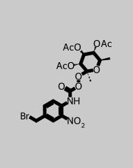 CC(=O)O[C@H]1[C@H](OC(C)=O)[C@@H](C)O[C@@](C)(OOC(=O)Nc2ccc(CBr)cc2[N+](=O)[O-])[C@@H]1OC(C)=O